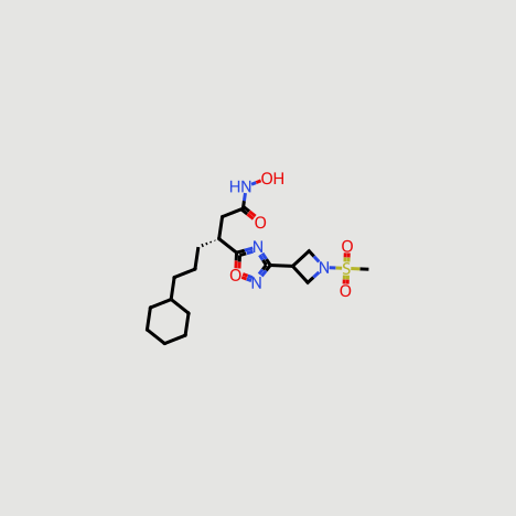 CS(=O)(=O)N1CC(c2noc([C@H](CCCC3CCCCC3)CC(=O)NO)n2)C1